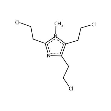 Cn1c(CCCl)nc(CCCl)c1CCCl